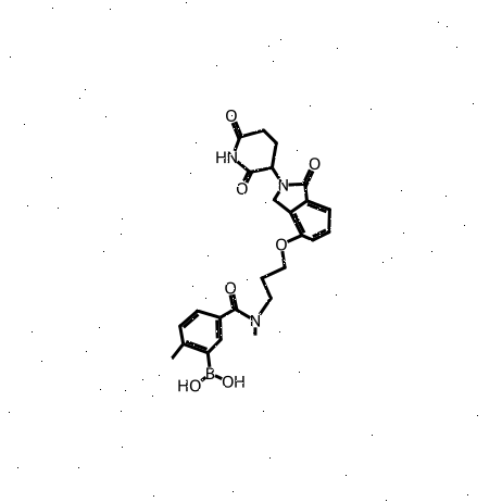 Cc1ccc(C(=O)N(C)CCCOc2cccc3c2CN(C2CCC(=O)NC2=O)C3=O)cc1B(O)O